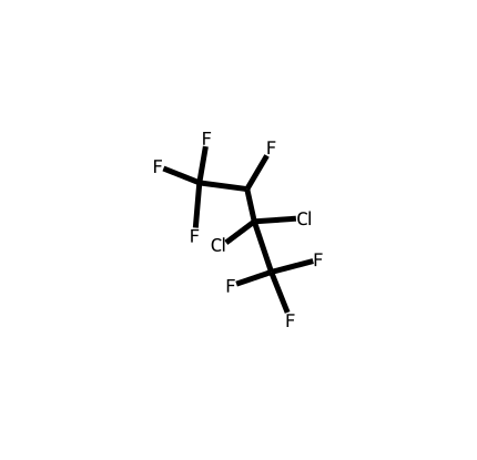 FC(C(F)(F)F)C(Cl)(Cl)C(F)(F)F